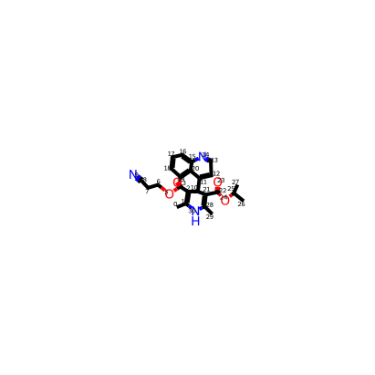 CC1=C(C(=O)OCCC#N)C(c2ccnc3ccccc23)C(C(=O)OC(C)C)=C(C)N1